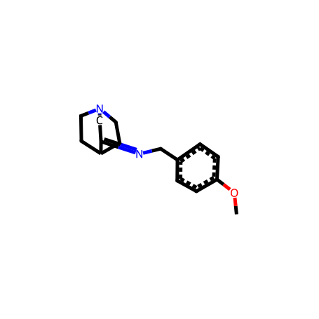 COc1ccc(C/N=C2\CN3CCC2CC3)cc1